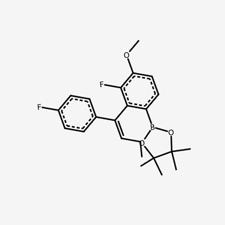 CC/C=C(/c1ccc(F)cc1)c1c(B2OC(C)(C)C(C)(C)O2)ccc(OC)c1F